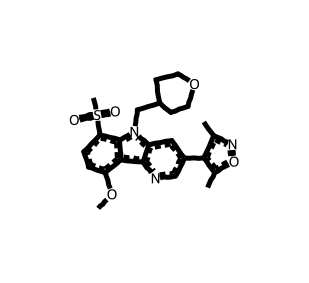 COc1ccc(S(C)(=O)=O)c2c1c1ncc(-c3c(C)noc3C)cc1n2CC1CCOCC1